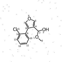 COC(O)c1cocc1-c1ccccc1Cl